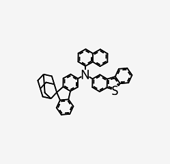 c1ccc2c(c1)-c1cc(N(c3ccc4sc5ccccc5c4c3)c3cccc4ccccc34)ccc1C21C2CC3CC(C2)CC1C3